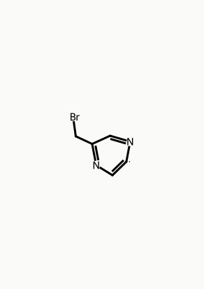 BrCc1cn[c]cn1